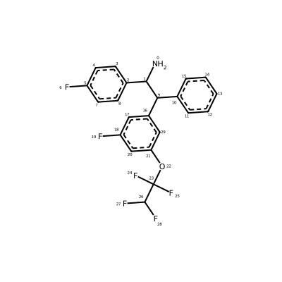 NC(c1ccc(F)cc1)C(c1ccccc1)c1cc(F)cc(OC(F)(F)C(F)F)c1